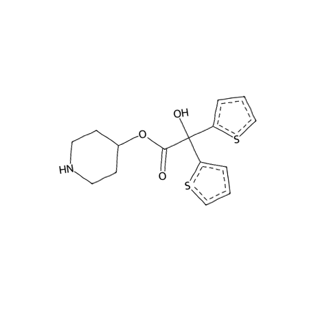 O=C(OC1CCNCC1)C(O)(c1cccs1)c1cccs1